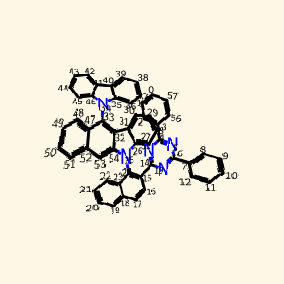 c1ccc(-c2nc(-c3ccccc3)nc(-c3ccc4ccccc4c3-n3c4ccccc4c4c(-n5c6ccccc6c6ccccc65)c5ccccc5cc43)n2)cc1